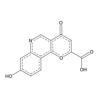 O=C(O)c1cc(=O)c2cnc3cc(O)ccc3c2o1